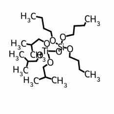 CCCCO[Si](OCCCC)(OCCCC)[O][Ti]([O]CC(C)C)([O]CC(C)C)[O]CC(C)C